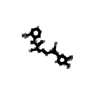 Cc1ccccc1NC(=O)/C(F)=C\C=C\C1C(F)C1c1ccc(Cl)c(Cl)c1